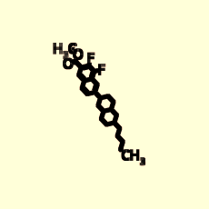 CCCCCC1CCC2CC(c3ccc4cc(C(=O)OC)c(F)c(F)c4c3)CCC2C1